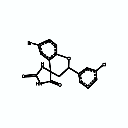 O=C1NC(=O)C2(CC(c3cccc(Cl)c3)Oc3ccc(Br)cc32)N1